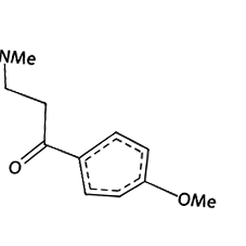 CNCCC(=O)c1ccc(OC)cc1